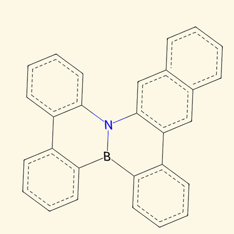 c1ccc2c(c1)B1c3ccccc3-c3cc4ccccc4cc3N1c1ccccc1-2